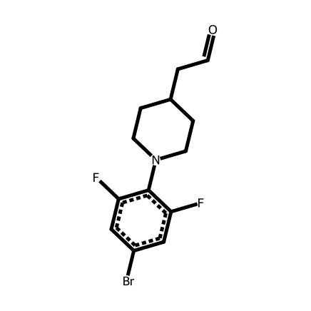 O=CCC1CCN(c2c(F)cc(Br)cc2F)CC1